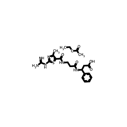 CCOC(C)=O.Cc1nc(NC(=N)N)sc1C(=O)NCCC(=O)NC(CC(=O)O)c1ccccc1